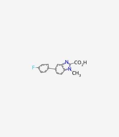 Cn1c(C(=O)O)nc2cc(-c3ccc(F)cc3)ccc21